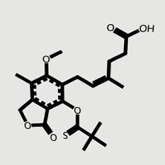 COc1c(C)c2c(c(OC(=S)C(C)(C)C)c1CC=C(C)CCC(=O)O)C(=O)OC2